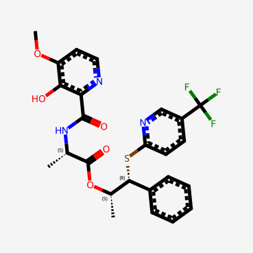 COc1ccnc(C(=O)N[C@@H](C)C(=O)O[C@@H](C)[C@H](Sc2ccc(C(F)(F)F)cn2)c2ccccc2)c1O